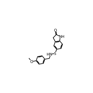 COc1ccc(CNSc2ccc3c(c2)CC(=O)N3)cc1